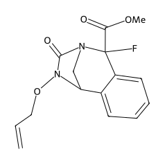 C=CCON1C(=O)N2CC1c1ccccc1C2(F)C(=O)OC